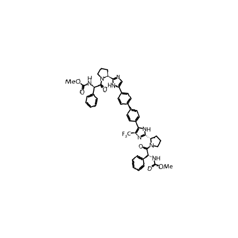 COC(=O)N[C@@H](C(=O)N1CCC[C@H]1c1ncc(-c2ccc(-c3ccc(-c4[nH]c([C@@H]5CCCN5C(=O)[C@H](NC(=O)OC)c5ccccc5)nc4C(F)(F)F)cc3)cc2)[nH]1)c1ccccc1